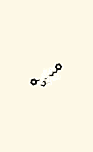 N[C@@H](Cc1ccccc1)[C@H](O)CNC(=O)[C@@H]1CCCN1Cc1ccccc1